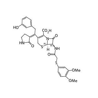 COc1ccc(SCC(=O)N[C@@H]2C(=O)N3C(C(=O)O)=C(C(Cc4cccc(O)c4)=C4CCNC4=O)CS[C@H]23)cc1OC